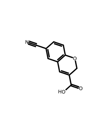 N#Cc1ccc2c(c1)C=C(C(=O)O)CO2